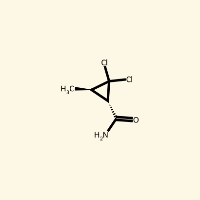 C[C@@H]1[C@@H](C(N)=O)C1(Cl)Cl